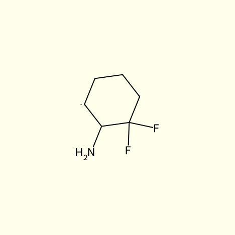 NC1[CH]CCCC1(F)F